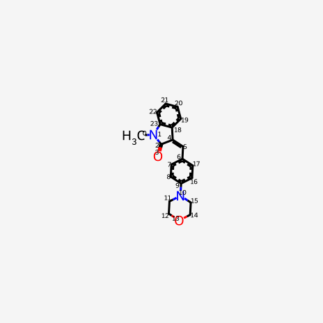 CN1C(=O)C(=Cc2ccc(N3CCOCC3)cc2)c2ccccc21